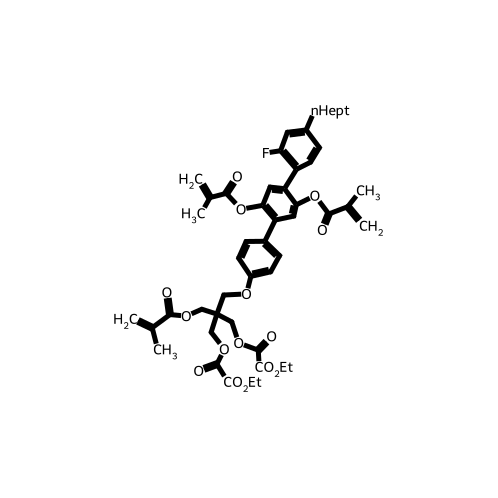 C=C(C)C(=O)OCC(COC(=O)C(=O)OCC)(COC(=O)C(=O)OCC)COc1ccc(-c2cc(OC(=O)C(=C)C)c(-c3ccc(CCCCCCC)cc3F)cc2OC(=O)C(=C)C)cc1